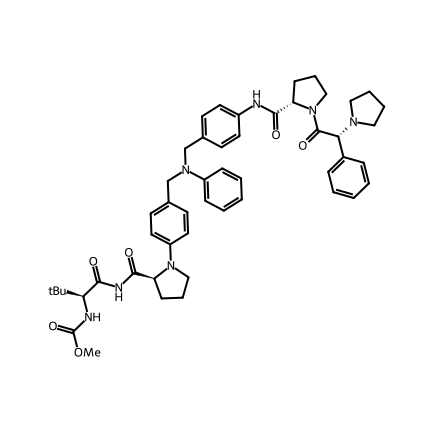 COC(=O)N[C@H](C(=O)NC(=O)[C@@H]1CCCN1c1ccc(CN(Cc2ccc(NC(=O)[C@@H]3CCCN3C(=O)[C@@H](c3ccccc3)N3CCCC3)cc2)c2ccccc2)cc1)C(C)(C)C